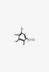 Cc1c(Br)cc(C=O)c(C)c1C